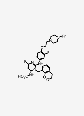 CC(C)N1CCN(CCOc2ccc(NC3=NC(F)=CC(NC(=O)O)N3Cc3cccc4c3OOCC4)cc2F)CC1